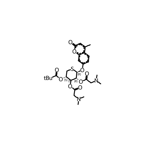 Cc1cc(=O)oc2cc(O[C@@H]3SC[C@@H](OC(=O)C(C)(C)C)[C@H](OC(=O)CN(C)C)[C@H]3OC(=O)CN(C)C)ccc12